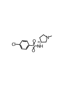 CN1CC[C@@H](NS(=O)(=O)c2ccc(Cl)cc2)C1